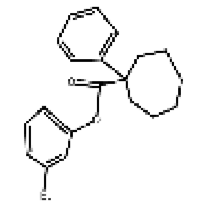 [CH2]Cc1cccc(OC(=O)C2(c3ccccc3)CCCCCC2)c1